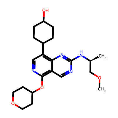 COC[C@H](C)Nc1ncc2c(OC3CCOCC3)ncc(C3CCC(O)CC3)c2n1